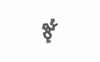 CCOC(C)Oc1c2ccc(C(C)C)ccc-2c2occc12